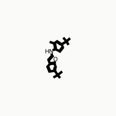 Cc1cc(C(C)(C)C)ccc1Nc1cc2ccc(C(C)(C)C)cc2o1